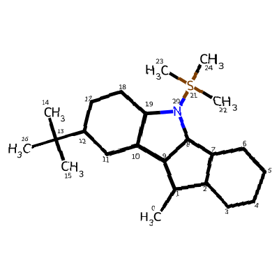 CC1C2CCCCC2C2C1C1CC(C(C)(C)C)CCC1N2S(C)(C)C